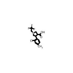 Cc1ccc(C2CN(CC(F)(F)F)CC2C(=O)O)c(Cl)c1